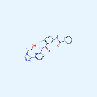 C[C@H](CO)n1cnnc1-c1cccc(NC(=O)c2cc(NC(=O)c3ccccc3)ccc2F)n1